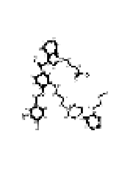 CCCOc1ccccc1N1CCN(CCCOc2cc(C(=O)c3cn(CCCC(=O)[O-])c4ccccc34)ccc2OCc2ccc(C)cc2)CC1.[Na+]